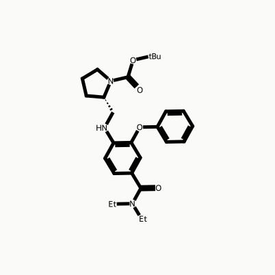 CCN(CC)C(=O)c1ccc(NC[C@@H]2CCCN2C(=O)OC(C)(C)C)c(Oc2ccccc2)c1